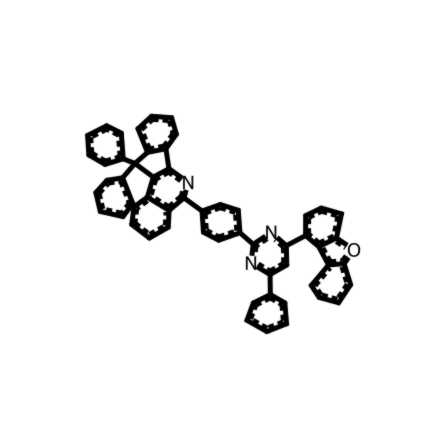 c1ccc(-c2cc(-c3cccc4oc5ccccc5c34)nc(-c3ccc(-c4nc5c(c6ccccc46)C(c4ccccc4)(c4ccccc4)c4ccccc4-5)cc3)n2)cc1